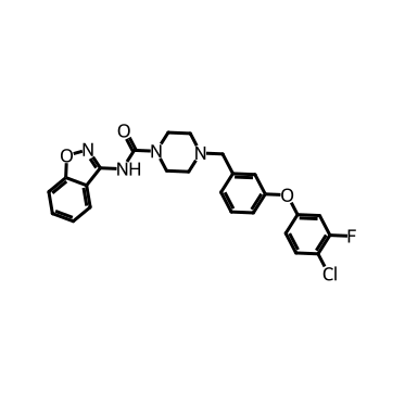 O=C(Nc1noc2ccccc12)N1CCN(Cc2cccc(Oc3ccc(Cl)c(F)c3)c2)CC1